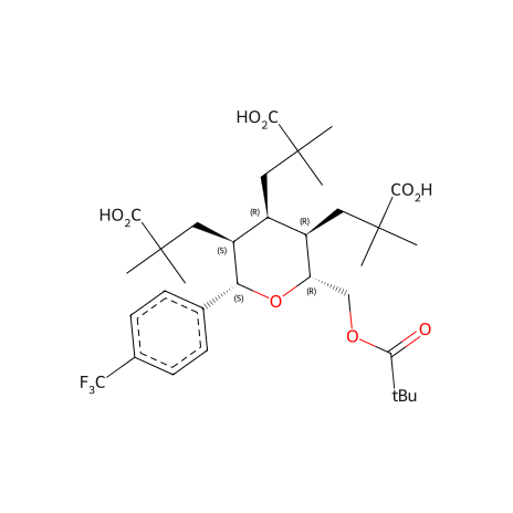 CC(C)(C)C(=O)OC[C@@H]1O[C@H](c2ccc(C(F)(F)F)cc2)[C@@H](CC(C)(C)C(=O)O)[C@@H](CC(C)(C)C(=O)O)[C@H]1CC(C)(C)C(=O)O